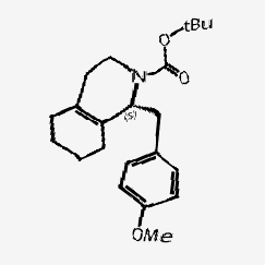 COc1ccc(C[C@H]2C3=C(CCCC3)CCN2C(=O)OC(C)(C)C)cc1